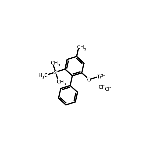 Cc1cc([O][Ti+2])c(-c2ccccc2)c([Si](C)(C)C)c1.[Cl-].[Cl-]